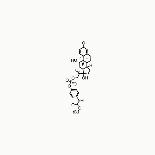 CC(C)(C)OC(=O)Nc1ccc(OP(=O)(O)OCC(=O)[C@@]2(O)CC[C@H]3[C@@H]4CCC5=CC(=O)C=C[C@]5(C)[C@@]4(F)[C@@H](O)C[C@@]32C)cc1